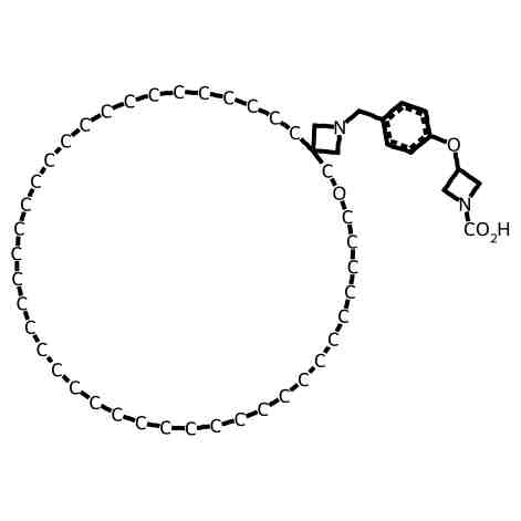 O=C(O)N1CC(Oc2ccc(CN3CC4(CCCCCCCCCCCCCCCCCCCCCCCCCCCCCCCCCCCCCCCOC4)C3)cc2)C1